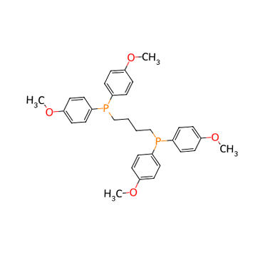 COc1ccc(P(CCCCP(c2ccc(OC)cc2)c2ccc(OC)cc2)c2ccc(OC)cc2)cc1